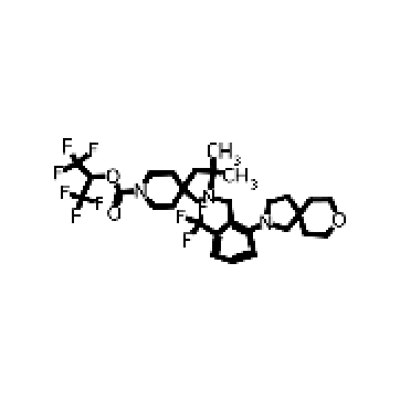 CC1(C)CC2(CCN(C(=O)OC(C(F)(F)F)C(F)(F)F)CC2)CN1Cc1c(N2CCC3(CCOCC3)C2)cccc1C(F)(F)F